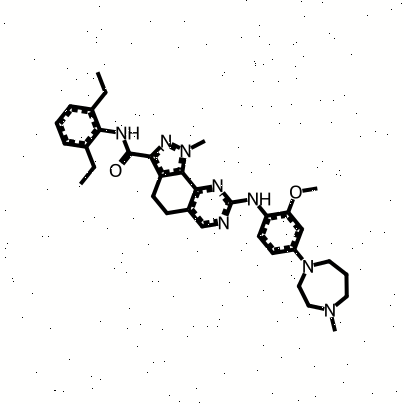 CCc1cccc(CC)c1NC(=O)c1nn(C)c2c1CCc1cnc(Nc3ccc(N4CCCN(C)CC4)cc3OC)nc1-2